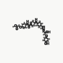 COC(=O)COc1ccc(NC(=O)N2CCC(Nc3ccc(CCNC[C@H](O)COc4ccc(O)cc4)cc3)CC2)cc1